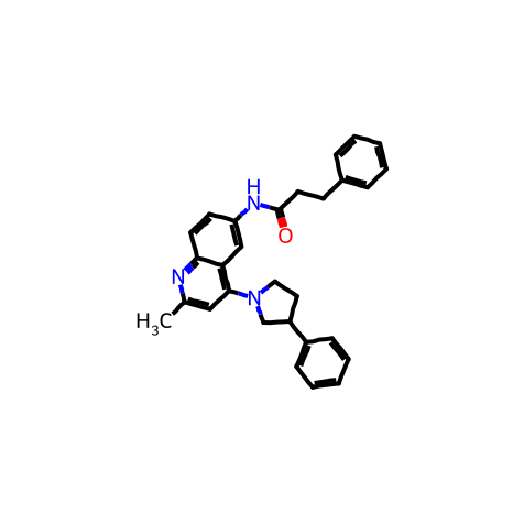 Cc1cc(N2CCC(c3ccccc3)C2)c2cc(NC(=O)CCc3ccccc3)ccc2n1